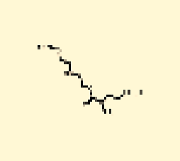 NC(CCC(=O)O)C(=O)OCCNCCO[N+](=O)[O-]